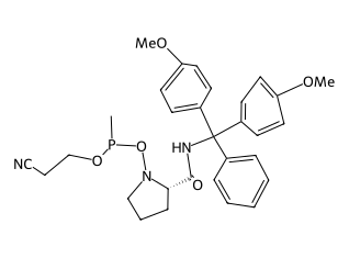 COc1ccc(C(NC(=O)[C@@H]2CCCN2OP(C)OCCC#N)(c2ccccc2)c2ccc(OC)cc2)cc1